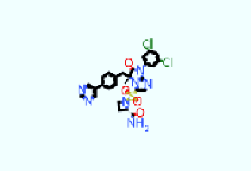 C[C@@]1(Cc2ccc(-c3cncnc3)cc2)C(=O)N(c2cc(Cl)cc(Cl)c2)c2ncc(S(=O)(=O)N3CC[C@H]3C(N)=O)n21